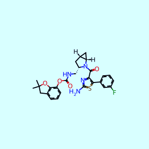 CC1(C)Cc2cccc(OC(=O)NC[C@@H]3C[C@@H]4C[C@@H]4N3C(=O)c3nc(N)sc3-c3cccc(F)c3)c2O1